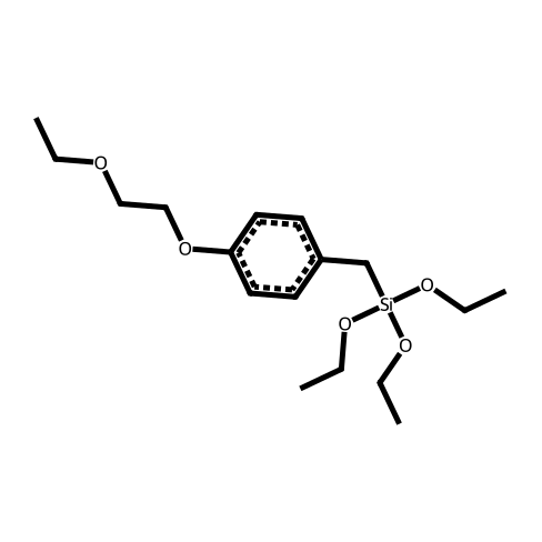 CCOCCOc1ccc(C[Si](OCC)(OCC)OCC)cc1